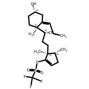 CC/C=C1/C[C@@H](O)CC[C@]1(C)[C@H](C)CC[C@]1(C)C(OS(=O)(=O)C(F)(F)F)=CC[C@H]1C